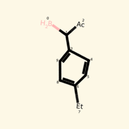 BC(C(C)=O)c1ccc(CC)cc1